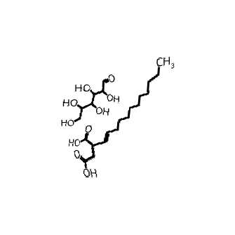 CCCCCCCCCCC=CC(CC(=O)O)C(=O)O.O=CC(O)C(O)C(O)C(O)CO